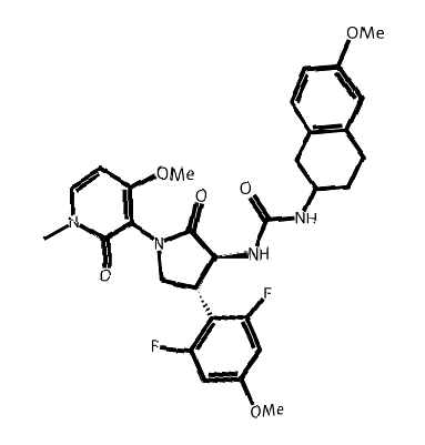 COc1cc(F)c([C@@H]2CN(c3c(OC)ccn(C)c3=O)C(=O)[C@H]2NC(=O)NC2CCc3cc(OC)ccc3C2)c(F)c1